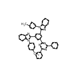 Cc1ccc(-n2c(-c3cc(-c4nc(-c5ccccc5)nc(-c5ccccc5)n4)cc(-c4nc5ccccc5n4-c4ccc(C)cc4)c3)nc3ccccc32)cc1